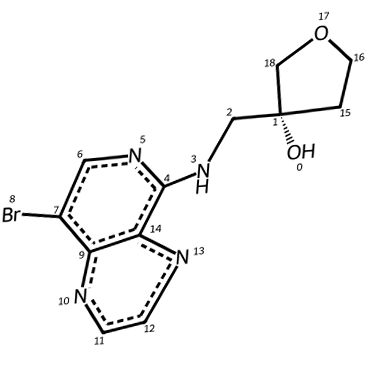 O[C@@]1(CNc2ncc(Br)c3nccnc23)CCOC1